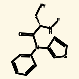 CC(C)C[C@H](NF)C(=O)N(c1ccccc1)c1ccsc1